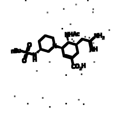 CCCCS(=O)(=O)N[C@@H]1CCCN([C@@H]2C=C(C(=O)O)C[C@H](CC(=N)N)[C@H]2NC(C)=O)C1